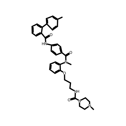 Cc1ccc(-c2ccccc2C(=O)Nc2ccc(C(=O)N(C)c3ccccc3OCCCNC(=O)N3CCN(C)CC3)cc2)cc1